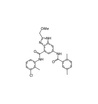 COCc1nc2c(C(=O)Nc3cccc(Cl)c3C)cc(NC(=O)c3cc(C)ccc3C)cc2[nH]1